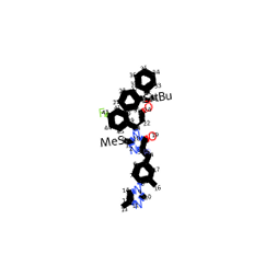 CSC1=N/C(=C\c2ccc(-n3cnc(C)c3)c(C)c2)C(=O)N1[C@H](CCO[Si](c1ccccc1)(c1ccccc1)C(C)(C)C)c1ccc(F)cc1